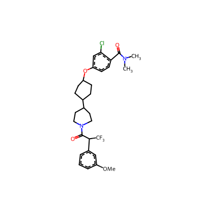 COc1cccc(C(C(=O)N2CCC(C3CCC(Oc4ccc(C(=O)N(C)C)c(Cl)c4)CC3)CC2)C(F)(F)F)c1